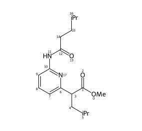 COC(=O)C(CC(C)C)c1cccc(NC(=O)CCC(C)C)n1